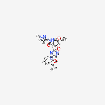 CC(C)Oc1cc(Oc2cnc(N(CC3CC3)C(=O)CC3CC3)cn2)cc(C(=O)Nc2ccn(C)n2)c1